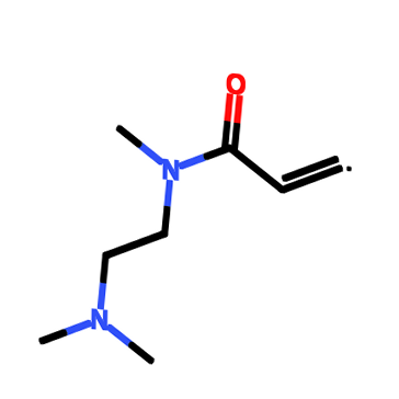 [CH]=CC(=O)N(C)CCN(C)C